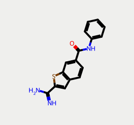 N=C(N)c1cc2ccc(C(=O)Nc3ccccc3)cc2s1